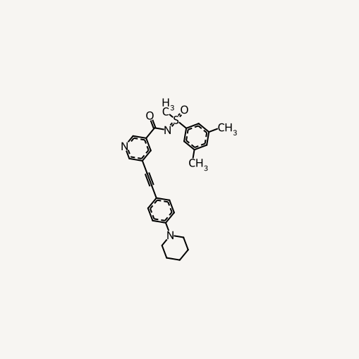 Cc1cc(C)cc(S(C)(=O)=NC(=O)c2cncc(C#Cc3ccc(N4CCCCC4)cc3)c2)c1